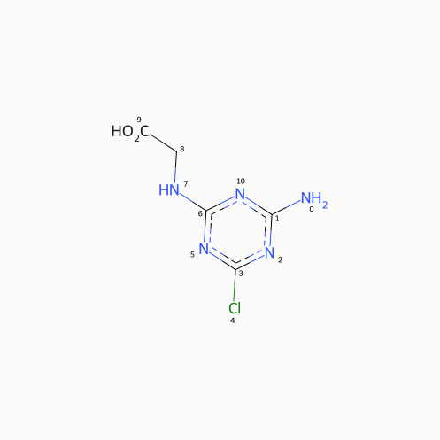 Nc1nc(Cl)nc(NCC(=O)O)n1